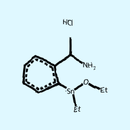 CC[O][Sn]([CH2]C)[c]1ccccc1C(C)N.Cl